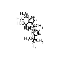 CC(C)c1c(C(C)(C)n2ccc(C(C)(C)C)n2)cnn1C(C)C